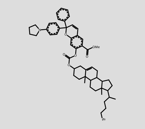 COC(=O)c1cc2c(cc1OC(=O)OC1CCC3(C)C(=CCC4C3CCC3(C)C(C(C)CCCC(C)C)CCC43)C1)OC(c1ccccc1)(c1ccc(N3CCCC3)cc1)C=C2